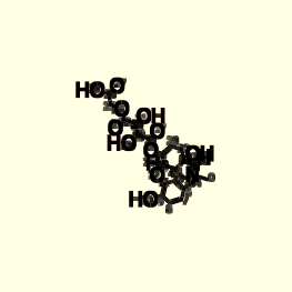 CN1CC[C@]23c4c5ccc(O)c4O[C@H]2C(OC(=O)[C@H](O)[C@@H](O)C(=O)OCC(=O)O)=CC[C@@]3(O)[C@H]1C5